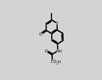 Cc1cc(=O)c2cc(NC(=O)C(=O)O)ccc2s1